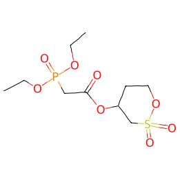 CCOP(=O)(CC(=O)OC1CCOS(=O)(=O)C1)OCC